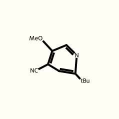 COc1cnc(C(C)(C)C)cc1C#N